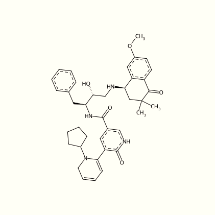 COc1ccc2c(c1)[C@H](NC[C@@H](O)[C@H](Cc1ccccc1)NC(=O)c1c[nH]c(=O)c(C3=CC=CCN3C3CCCC3)c1)CC(C)(C)C2=O